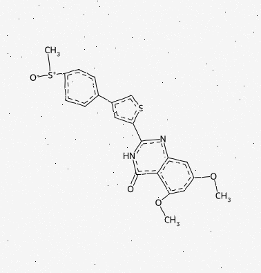 COc1cc(OC)c2c(=O)[nH]c(-c3cc(-c4ccc([S+](C)[O-])cc4)cs3)nc2c1